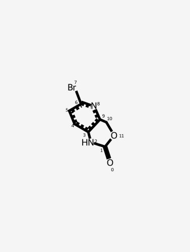 O=C1Nc2ccc(Br)nc2CO1